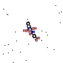 COC(=O)c1ccc(C(=O)NC[C@@H](O)[C@@H]2Cc3ccccc3CN2C(=O)O)cc1